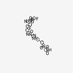 N#Cc1c(NS(=O)(=O)N2CC[C@@H](F)C2)ccc(F)c1Oc1ccc2ncn(-c3cnc(N4CCC(c5ccc6c(c5)C(=O)N(C5CCC(=O)NC5=O)C6)CC4)nc3)c(=O)c2c1